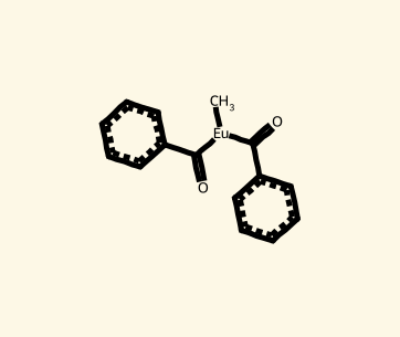 [CH3][Eu]([C](=O)c1ccccc1)[C](=O)c1ccccc1